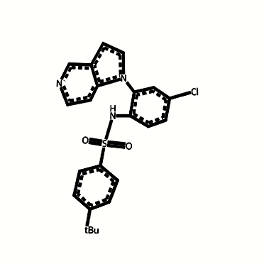 CC(C)(C)c1ccc(S(=O)(=O)Nc2ccc(Cl)cc2-n2ccc3cnccc32)cc1